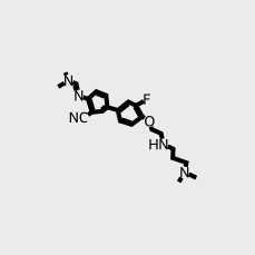 CN(C)C=Nc1ccc(-c2ccc(OCCNCCCN(C)C)c(F)c2)cc1C#N